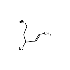 CC=CC(CC)CCCCCC